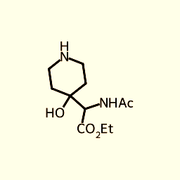 CCOC(=O)C(NC(C)=O)C1(O)CCNCC1